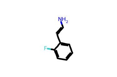 NC=Cc1ccccc1F